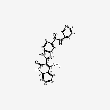 Nc1c(-c2nc3cc(C(=O)Nc4cccnc4)ccc3[nH]2)c(=O)[nH]c2ccccc12